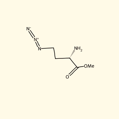 COC(=O)[C@@H](N)CCN=[N+]=[N-]